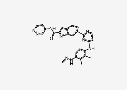 C=NNc1ccc(Nc2ccnc(-c3ccc4cc(C(=O)Nc5ccnnc5)[nH]c4c3)n2)c(C)c1C